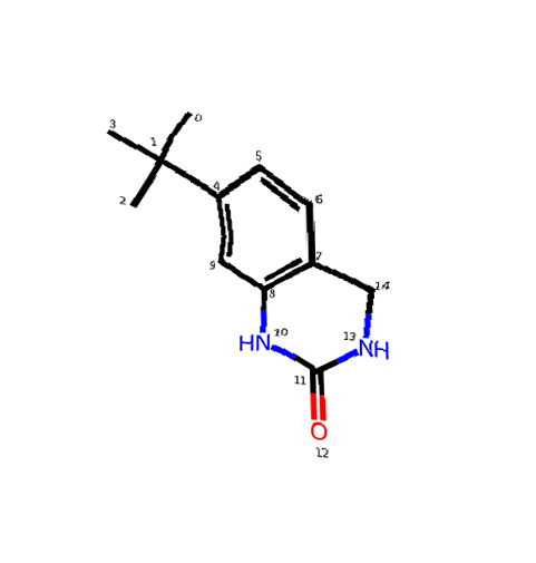 CC(C)(C)c1ccc2c(c1)NC(=O)NC2